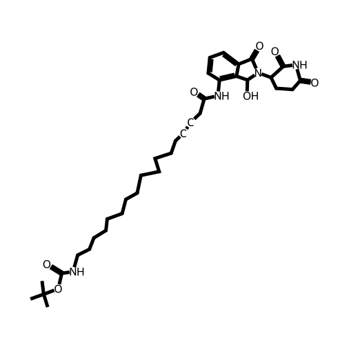 CC(C)(C)OC(=O)NCCCCCCCCCCCCCCCCC(=O)Nc1cccc2c1C(O)N(C1CCC(=O)NC1=O)C2=O